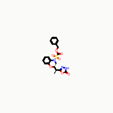 C[C@H](c1n[nH]c(=O)o1)[C@H]1CN(S(=O)(=O)C(=O)OCc2ccccc2)c2ccccc2O1